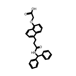 O=C(O)COc1cccc2c(CCC(=O)NC(c3ccccc3)c3ccccc3)cccc12